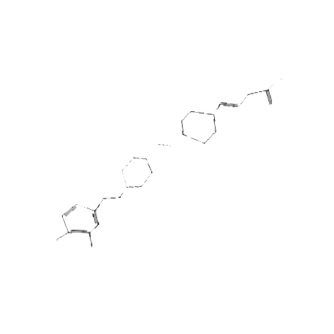 O=C(O)CC=C[C@H]1CC[C@H](CC[C@H]2CC[C@H](CCc3ccc(F)c(F)c3)CC2)CC1